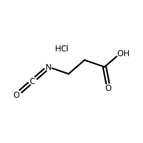 Cl.O=C=NCCC(=O)O